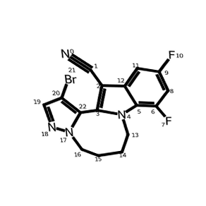 N#Cc1c2n(c3c(F)cc(F)cc13)CCCCn1ncc(Br)c1-2